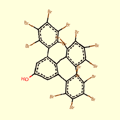 Oc1cc(-c2c(Br)c(Br)c(Br)c(Br)c2Br)c(-c2c(Br)c(Br)c(Br)c(Br)c2Br)c(-c2c(Br)c(Br)c(Br)c(Br)c2Br)c1